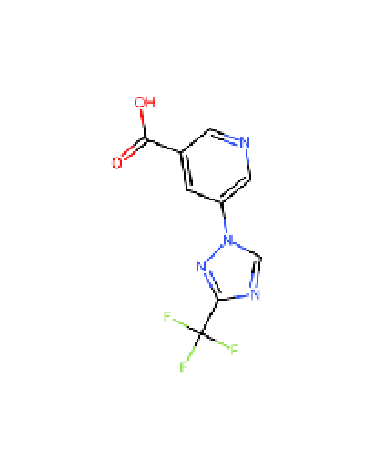 O=C(O)c1cncc(-n2cnc(C(F)(F)F)n2)c1